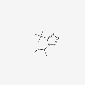 CSC(C)n1nnnc1C(C)(C)C